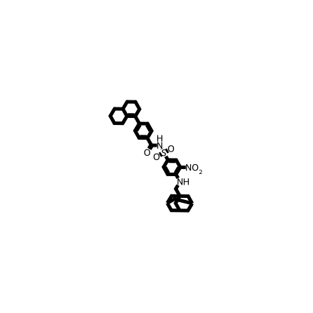 O=C(NS(=O)(=O)c1ccc(NCC23CC4CC(CC(C4)C2)C3)c([N+](=O)[O-])c1)c1ccc(C2=C3CCCCC3CCC2)cc1